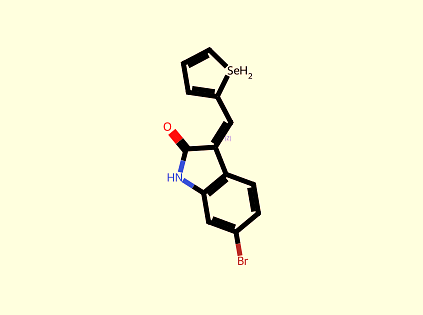 O=C1Nc2cc(Br)ccc2/C1=C/C1=CC=C[SeH2]1